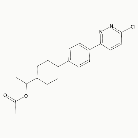 CC(=O)OC(C)C1CCC(c2ccc(-c3ccc(Cl)nn3)cc2)CC1